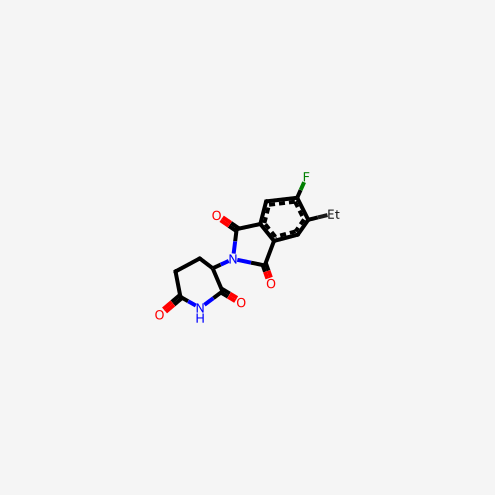 CCc1cc2c(cc1F)C(=O)N(C1CCC(=O)NC1=O)C2=O